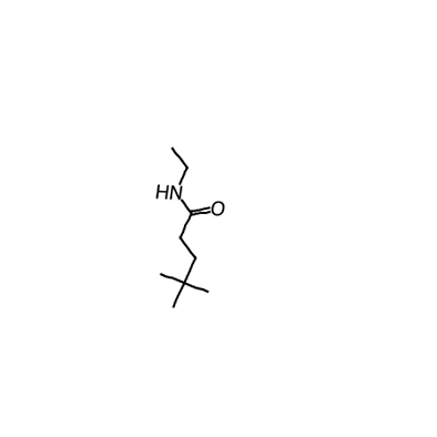 CCNC(=O)CCC(C)(C)C